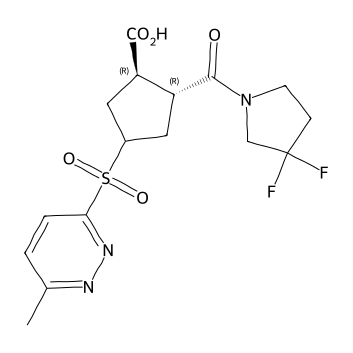 Cc1ccc(S(=O)(=O)C2C[C@@H](C(=O)O)[C@H](C(=O)N3CCC(F)(F)C3)C2)nn1